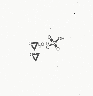 C1CO1.C1CO1.O.O=S(=O)(O)O